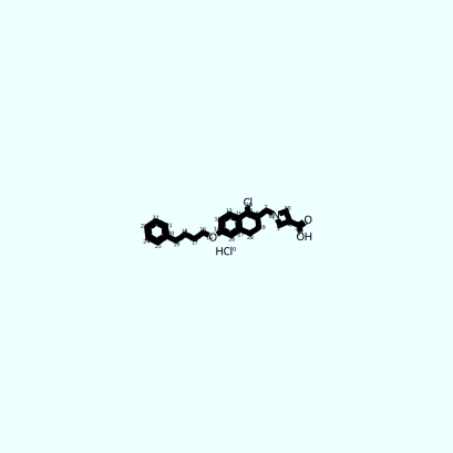 Cl.O=C(O)C1CN(CC2=C(Cl)c3ccc(OCCCCc4ccccc4)cc3CC2)C1